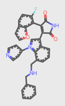 O=C1NC(=O)C(c2c(F)ccc3ccoc23)=C1c1cn(-c2ccncc2)c2c(CNCc3ccccc3)cccc12